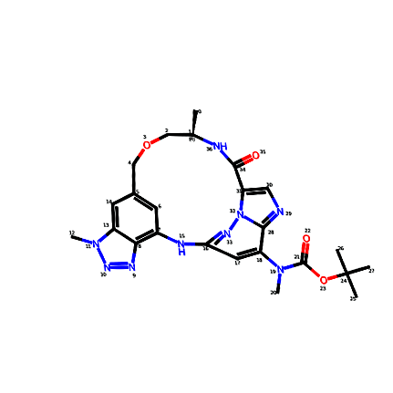 C[C@@H]1COCc2cc(c3nnn(C)c3c2)Nc2cc(N(C)C(=O)OC(C)(C)C)c3ncc(n3n2)C(=O)N1